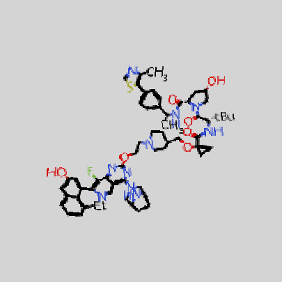 CCc1cccc2cc(O)cc(-c3ncc4c(N5CC6CCC(C5)N6)nc(OCCN5CCC(COC6(C(=O)N[C@H](C(=O)N7C[C@H](O)C[C@H]7C(=O)N[C@@H](C)c7ccc(-c8scnc8C)cc7)C(C)(C)C)CC6)CC5)nc4c3F)c12